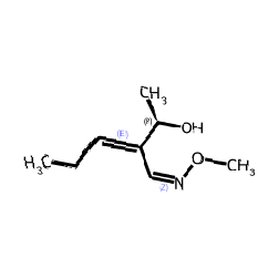 CC/C=C(\C=N/OC)[C@@H](C)O